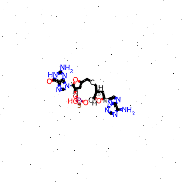 Nc1nc2c(ncn2[C@@H]2OC3CCC[C@H]4C[C@H](c5cnc6c(N)ncnn56)O[C@@H]4COP(O)(=S)O[C@@H]2C3)c(=O)[nH]1